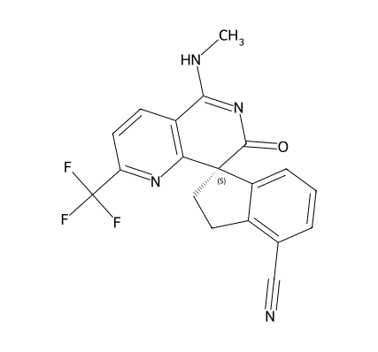 CNC1=NC(=O)[C@]2(CCc3c(C#N)cccc32)c2nc(C(F)(F)F)ccc21